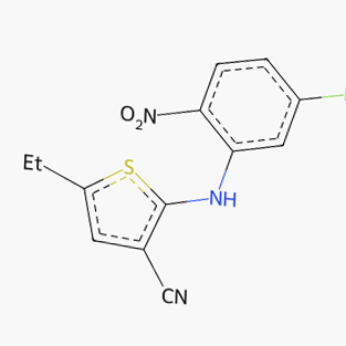 CCc1cc(C#N)c(Nc2cc(F)ccc2[N+](=O)[O-])s1